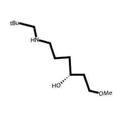 [CH2]OCC[C@H](O)CCCNCC(C)(C)C